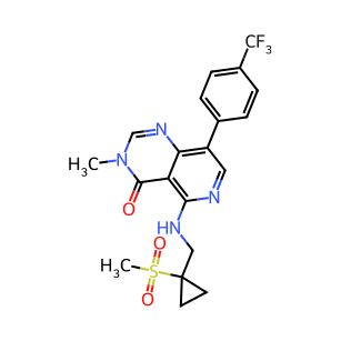 Cn1cnc2c(-c3ccc(C(F)(F)F)cc3)cnc(NCC3(S(C)(=O)=O)CC3)c2c1=O